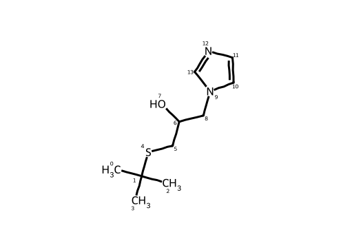 CC(C)(C)SCC(O)Cn1ccnc1